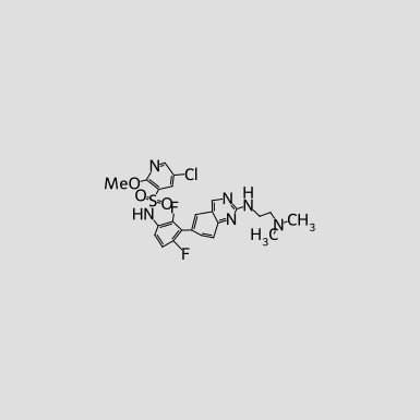 COc1ncc(Cl)cc1S(=O)(=O)Nc1ccc(F)c(-c2ccc3nc(NCCN(C)C)ncc3c2)c1F